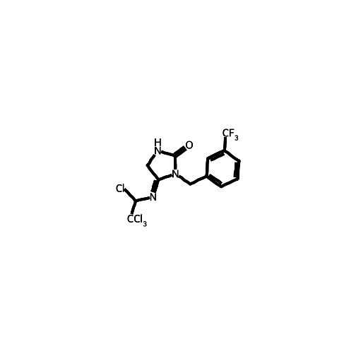 O=C1NCC(=NC(Cl)C(Cl)(Cl)Cl)N1Cc1cccc(C(F)(F)F)c1